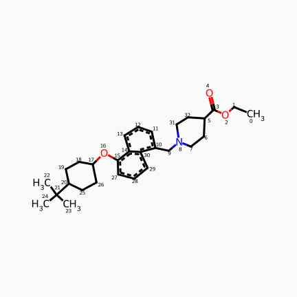 CCOC(=O)C1CCN(Cc2cccc3c(OC4CCC(C(C)(C)C)CC4)cccc23)CC1